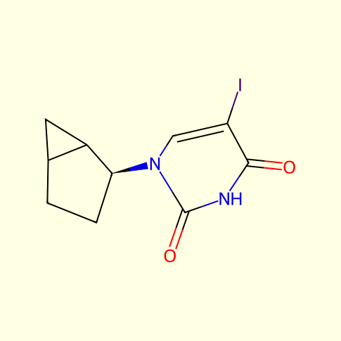 O=c1[nH]c(=O)n([C@H]2CCC3CC32)cc1I